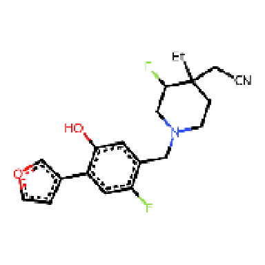 CCC1(CC#N)CCN(Cc2cc(O)c(-c3ccoc3)cc2F)CC1F